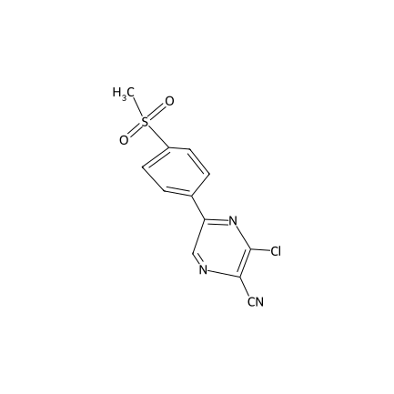 CS(=O)(=O)c1ccc(-c2cnc(C#N)c(Cl)n2)cc1